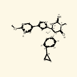 COc1ncc(-c2csc([C@@]3(C)NC(=N)N(C)C(=O)[C@@H]3c3ccc(C4CC4)cc3)c2)cn1